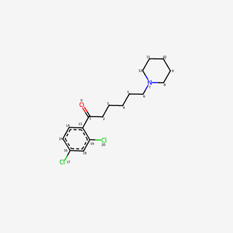 O=C(CCCCCN1CC[CH]CC1)c1ccc(Cl)cc1Cl